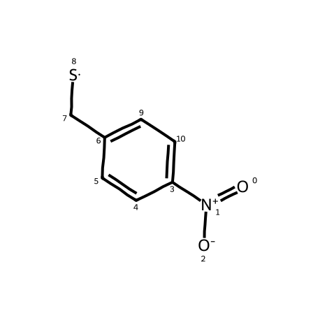 O=[N+]([O-])c1ccc(C[S])cc1